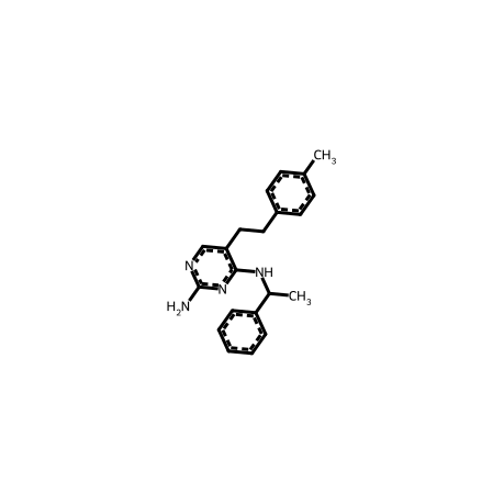 Cc1ccc(CCc2cnc(N)nc2NC(C)c2ccccc2)cc1